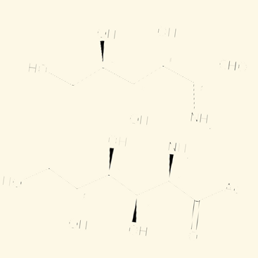 CC(=O)C(=O)[C@H](N)[C@@H](O)[C@H](O)[C@H](O)CO.N[C@@H](C=O)[C@@H](O)[C@H](O)[C@H](O)CO